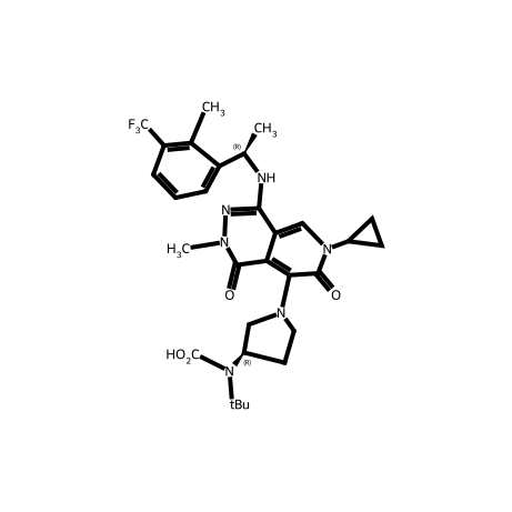 Cc1c([C@@H](C)Nc2nn(C)c(=O)c3c(N4CC[C@@H](N(C(=O)O)C(C)(C)C)C4)c(=O)n(C4CC4)cc23)cccc1C(F)(F)F